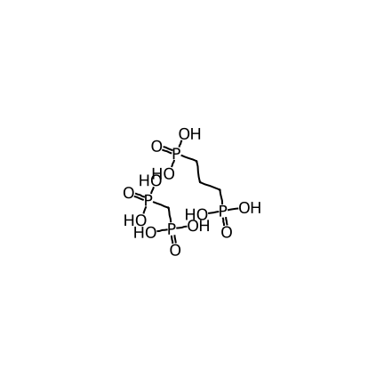 O=P(O)(O)CCCP(=O)(O)O.O=P(O)(O)CP(=O)(O)O